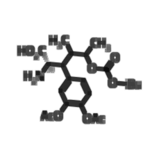 CCC(C)OC(=O)OC(C)C(C)C(c1ccc(OC(C)=O)c(OC(C)=O)c1)[C@H](N)C(=O)O